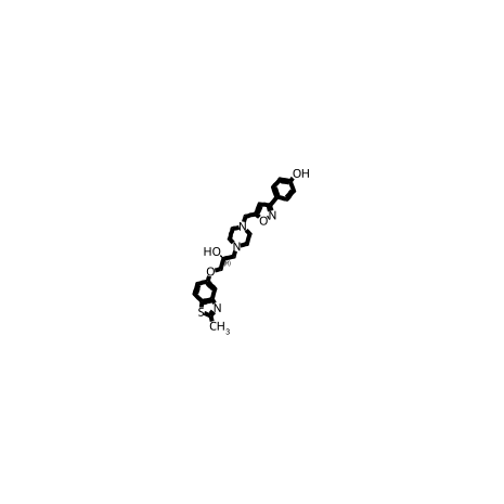 Cc1nc2cc(OC[C@H](O)CN3CCN(Cc4cc(-c5ccc(O)cc5)no4)CC3)ccc2s1